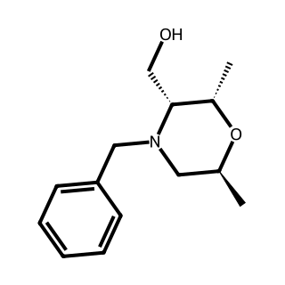 C[C@@H]1O[C@@H](C)CN(Cc2ccccc2)[C@@H]1CO